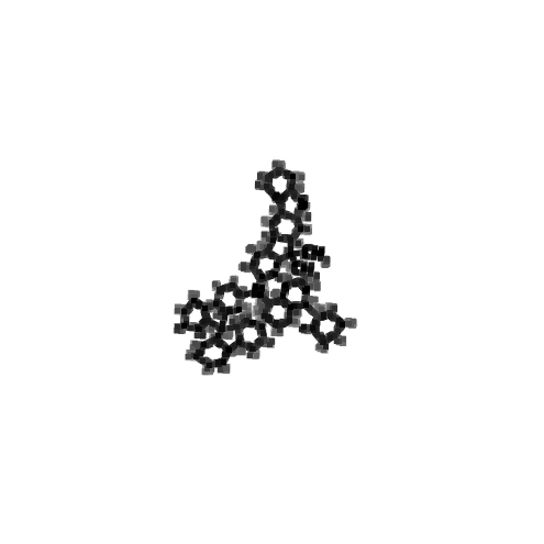 CC1(C)c2cc(N(c3cccc(C4(c5ccccc5)c5ccccc5-c5ccccc54)c3)c3cccc4c(-c5ccccc5)cccc34)ccc2-c2cc3c(cc21)sc1ccccc13